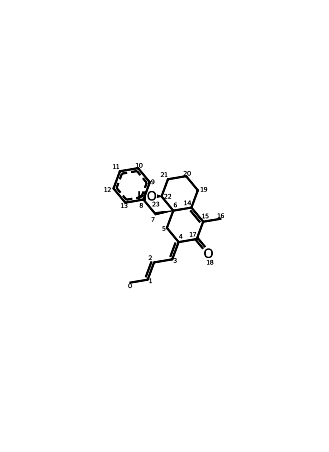 CC=CC=C1C[C@@]2(Cc3ccccc3)C(=C(C)C1=O)CCC[C@@H]2O